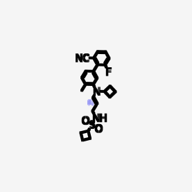 Cc1ccc(-c2c(F)cccc2C#N)cc1N(/C=C/CNS(=O)(=O)C1CCC1)C1CCC1